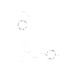 CCOCCN(CCCCc1ccc2c(n1)NCCC2)CC[C@H](Nc1ncc(C(F)(F)F)cn1)C(=O)O